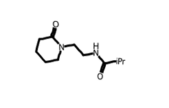 CC(C)C(=O)NCCN1CCCCC1=O